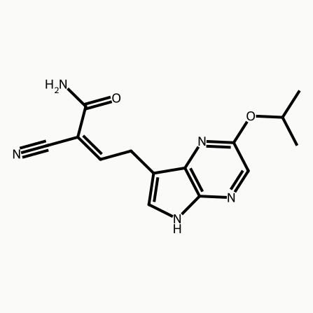 CC(C)Oc1cnc2[nH]cc(CC=C(C#N)C(N)=O)c2n1